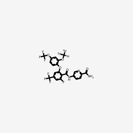 [2H]C([2H])([2H])Oc1cc(OC(F)(F)F)ccc1Oc1cc(C(F)(F)F)cc(F)c1C(=O)Nc1ccc(C(N)=O)nc1